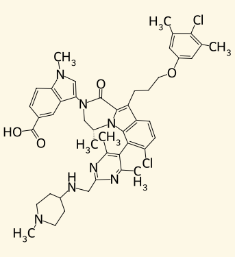 Cc1cc(OCCCc2c3n(c4c(-c5c(C)nc(CNC6CCN(C)CC6)nc5C)c(Cl)ccc24)[C@H](C)CN(c2cn(C)c4ccc(C(=O)O)cc24)C3=O)cc(C)c1Cl